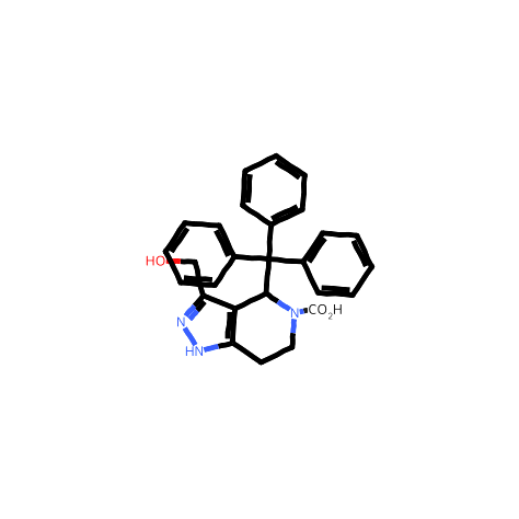 O=C(O)N1CCc2[nH]nc(CO)c2C1C(c1ccccc1)(c1ccccc1)c1ccccc1